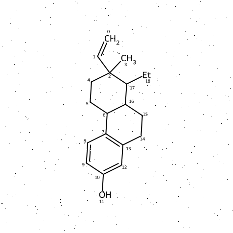 C=CC1(C)CCC2c3ccc(O)cc3CCC2C1CC